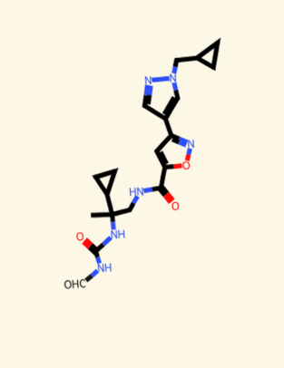 CC(CNC(=O)c1cc(-c2cnn(CC3CC3)c2)no1)(NC(=O)NC=O)C1CC1